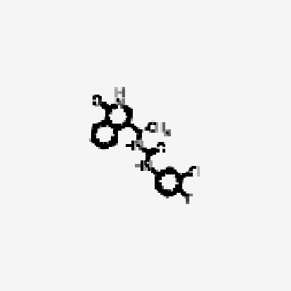 C[C@H](NC(=O)Nc1ccc(F)c(Cl)c1)c1c[nH]c(=O)c2ccccc12